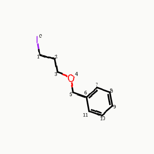 ICCCOCc1ccccc1